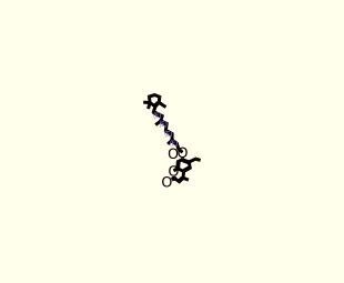 CCc1cc2c(C)cc(=O)oc2cc1OC(=O)/C=C(C)/C=C/C=C(C)/C=C/C1=C(C)CCCC1(C)C